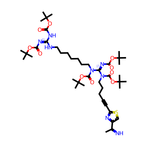 CC(=N)c1csc(C#CCCCN(C(=O)OC(C)(C)C)/C(=N\C(=O)OC(C)(C)C)N(CCCCCCCN/C(=N\C(=O)OC(C)(C)C)NC(=O)OC(C)(C)C)C(=O)OC(C)(C)C)n1